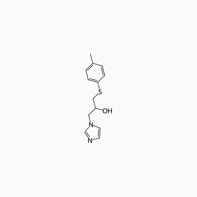 Cc1ccc(SCC(O)Cn2ccnc2)cc1